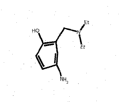 CCN(CC)Cc1cc(N)ccc1O